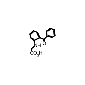 O=C(O)CNc1ccccc1C(=O)c1ccccc1